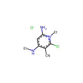 CCNc1cc(N)[n+](CC)c(Cl)c1C#N.[Cl-]